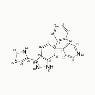 C1=CC(c2ccccc2)(c2ccncc2)Cc2[nH]nc(-c3cscn3)c21